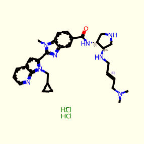 CN(C)C/C=C/CN[C@@H]1CNC[C@H]1NC(=O)c1ccc2c(c1)nc(-c1cc3cccnc3n1CC1CC1)n2C.Cl.Cl